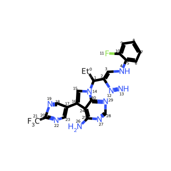 CCC(/C(=C/Nc1ccccc1F)N=N)n1cc(-c2cnc(C(F)(F)F)nc2)c2c(N)ncnc21